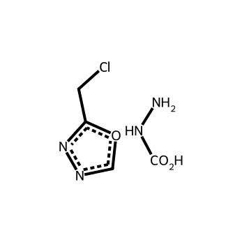 ClCc1nnco1.NNC(=O)O